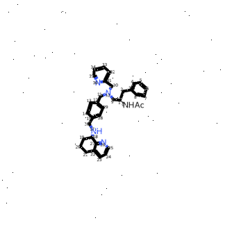 CC(=O)N[C@@H](Cc1ccccc1)CN(Cc1ccc(CNC2CCCc3cccnc32)cc1)Cc1ccccn1